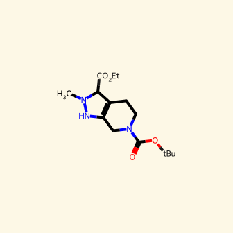 CCOC(=O)C1C2=C(CN(C(=O)OC(C)(C)C)CC2)NN1C